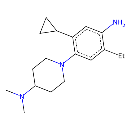 CCc1cc(N2CCC(N(C)C)CC2)c(C2CC2)cc1N